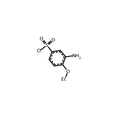 CCOc1ccc(S(=O)(=O)Cl)cc1N